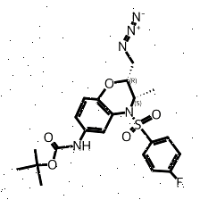 C[C@H]1[C@@H](CN=[N+]=[N-])Oc2ccc(NC(=O)OC(C)(C)C)cc2N1S(=O)(=O)c1ccc(F)cc1